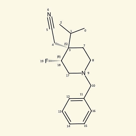 CC(C)[C@@]1(CC#N)CCN(Cc2ccccc2)C[C@@H]1F